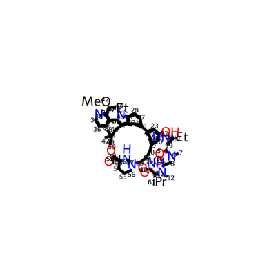 CC[C@H]1N[C@H]1C(=O)N(C)CC(=O)N(C)C(C(=O)N[C@H]1Cc2cc(O)cc(c2)-c2ccc3c(c2)c(c(-c2cccnc2[C@H](C)OC)n3CC)CC(C)(C)COC(=O)[C@@H]2CCCN(N2)C1=O)C(C)C